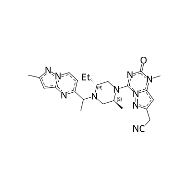 CC[C@@H]1CN(c2nc(=O)n(C)c3cc(CC#N)nn23)[C@@H](C)CN1C(C)c1ccn2nc(C)cc2n1